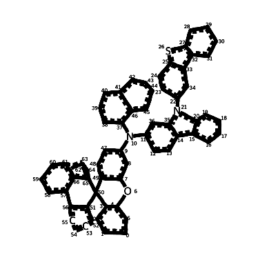 c1ccc2c(c1)Oc1cc(N(c3ccc4c5ccccc5n(-c5ccc6sc7ccccc7c6c5)c4c3)c3cccc4ccccc34)ccc1C21c2ccccc2-c2cccc3cccc1c23